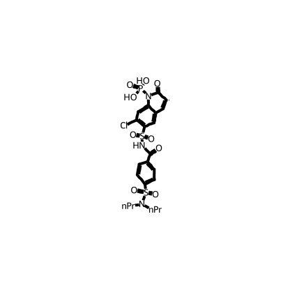 CCCN(CCC)S(=O)(=O)c1ccc(C(=O)NS(=O)(=O)c2cc3c[c]c(=O)n(P(=O)(O)O)c3cc2Cl)cc1